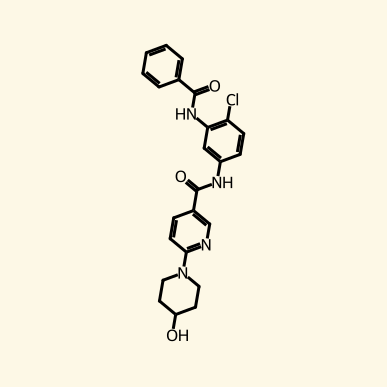 O=C(Nc1ccc(Cl)c(NC(=O)c2ccccc2)c1)c1ccc(N2CCC(O)CC2)nc1